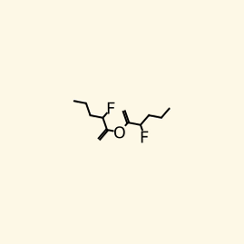 C=C(OC(=C)C(F)CCC)C(F)CCC